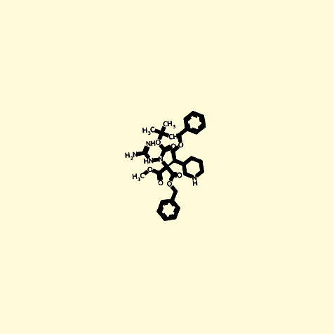 COC(=O)[C@](C(=O)OCc1ccccc1)(C(C(=O)OCc1ccccc1)C1CCCNC1)N(NC(=N)N)C(=O)OC(C)(C)C